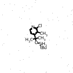 Cc1c(C(C)(C)O[SiH2]C(C)(C)C)ccnc1Cl